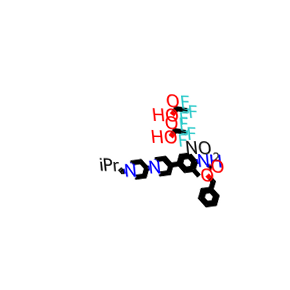 Cc1cc(C2=CCN(C3CCN(CC(C)C)CC3)CC2)cc([N+](=O)[O-])c1NC(=O)OCc1ccccc1.O=C(O)C(F)(F)F.O=C(O)C(F)(F)F